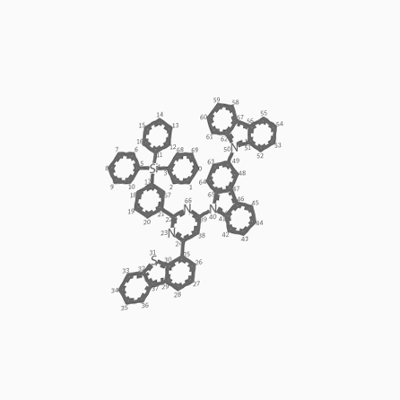 c1ccc([Si](c2ccccc2)(c2ccccc2)c2cccc(-c3nc(-c4cccc5c4sc4ccccc45)cc(-n4c5ccccc5c5cc(-n6c7ccccc7c7ccccc76)ccc54)n3)c2)cc1